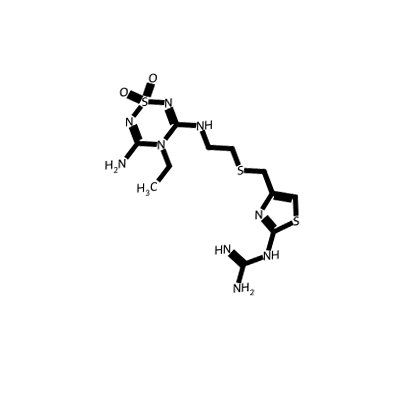 CCN1C(N)=NS(=O)(=O)N=C1NCCSCc1csc(NC(=N)N)n1